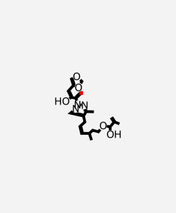 C=C(C)C(O)OCCC(C)/C=C\CC1=C2CN2N(C(=C/C)/C(O)=C\C2=COCO2)N=C1C